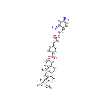 CC(C)CC(C)C1CCC2C3CCC4CC(OC(=O)c5ccc(/C=C/C(=O)OCCc6ccc(N)cc6N)cc5)CCC4(C)C3CCC12C